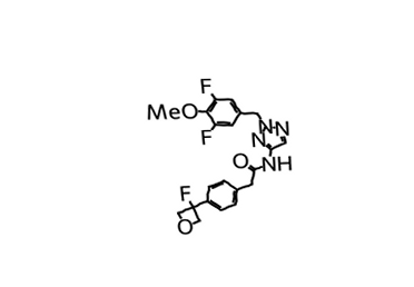 COc1c(F)cc(Cn2ncc(NC(=O)Cc3ccc(C4(F)COC4)cc3)n2)cc1F